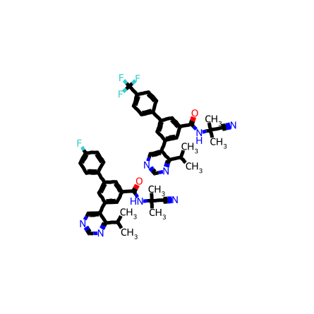 CC(C)c1ncncc1-c1cc(C(=O)NC(C)(C)C#N)cc(-c2ccc(C(F)(F)F)cc2)c1.CC(C)c1ncncc1-c1cc(C(=O)NC(C)(C)C#N)cc(-c2ccc(F)cc2)c1